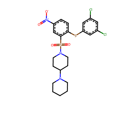 O=[N+]([O-])c1ccc(Sc2cc(Cl)cc(Cl)c2)c(S(=O)(=O)N2CCC(N3CCCCC3)CC2)c1